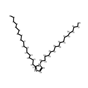 CCCCCCCCCCCCCCCCCc1nccn1CCCCCCCCCCCCCCCCC